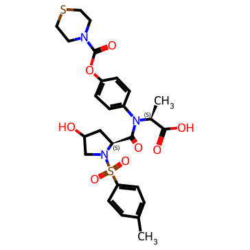 Cc1ccc(S(=O)(=O)N2CC(O)C[C@H]2C(=O)N(c2ccc(OC(=O)N3CCSCC3)cc2)[C@@H](C)C(=O)O)cc1